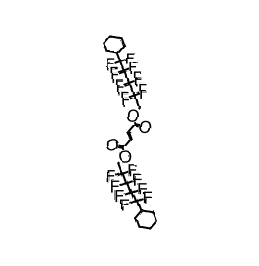 O=C(/C=C/C(=O)OCC(F)(F)C(F)(F)C(F)(F)C(F)(F)C1CCCCC1)OCC(F)(F)C(F)(F)C(F)(F)C(F)(F)C1CCCCC1